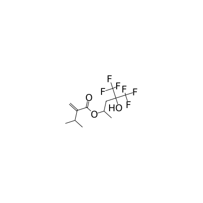 C=C(C(=O)OC(C)CC(O)(C(F)(F)F)C(F)(F)F)C(C)C